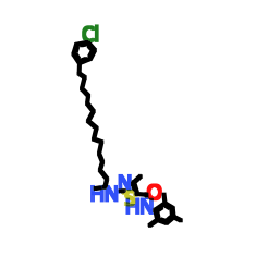 Cc1cc(C)c(NC(=O)c2sc(NC(C)CCCCCCCCCCCCCCc3ccc(Cl)cc3)nc2C)c(C)c1